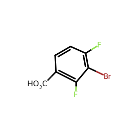 O=C(O)c1ccc(F)c(Br)c1F